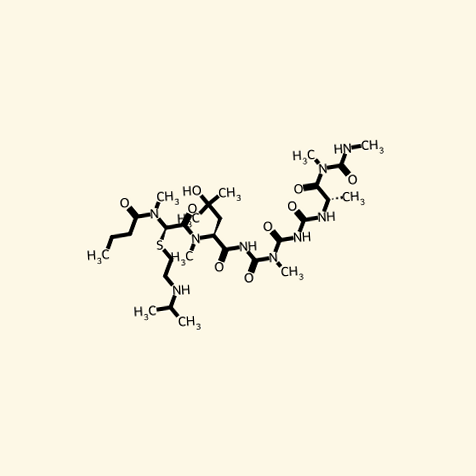 CCCC(=O)N(C)[C@H](SCCNC(C)C)C(=O)N(C)[C@@H](CC(C)(C)O)C(=O)NC(=O)N(C)C(=O)NC(=O)N[C@@H](C)C(=O)N(C)C(=O)NC